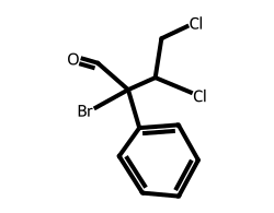 O=CC(Br)(c1ccccc1)C(Cl)CCl